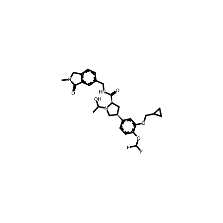 CC(O)N1C[C@H](c2ccc(OC(F)F)c(OCC3CC3)c2)C[C@@H]1C(=O)NCc1ccc2c(c1)C(=O)N(C)C2